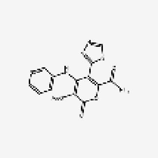 COc1c(Nc2cccnc2)c(-c2nncs2)c(C(N)=O)oc1=O